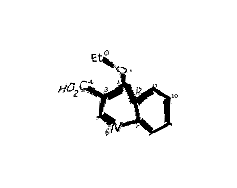 CCOc1c(C(=O)O)cnc2ccccc12